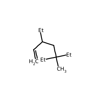 C=CC(CC)CC(C)(CC)CC